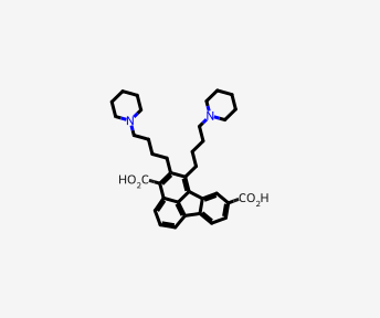 O=C(O)c1ccc2c(c1)-c1c(CCCCN3CCCCC3)c(CCCCN3CCCCC3)c(C(=O)O)c3cccc-2c13